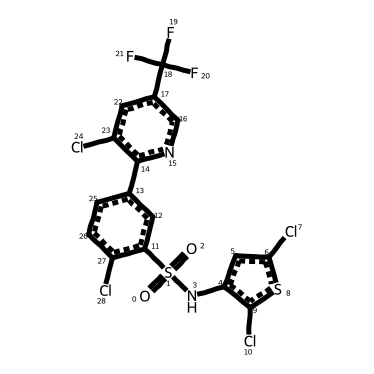 O=S(=O)(Nc1cc(Cl)sc1Cl)c1cc(-c2ncc(C(F)(F)F)cc2Cl)ccc1Cl